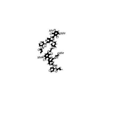 C=CC(=O)N[C@H]1CCOC[C@H]1Nc1cc2c(N3CCC(C)(OCCOc4cc(OC)c(Cl)c(-c5cc6cnc(N[C@@H]7COCC[C@@H]7NC(=O)C=C)nc6c(NCCOC)n5)c4Cl)CC3)nc(-c3c(Cl)c(OC)cc(OC)c3Cl)nc2cn1